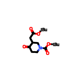 CC(C)(C)OC(=O)CC1CN(C(=O)OC(C)(C)C)CCC1=O